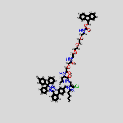 CCCCc1nc(Cl)c(CNC(=O)C(CCC)NC(=O)COCC(=O)NCCOCCOCCOCCNC(=O)OCC2c3ccccc3-c3ccccc32)n1Cc1ccc(-c2ccccc2-c2nnn(C(c3ccccc3)(c3ccccc3)c3ccc(C)cc3)n2)cc1